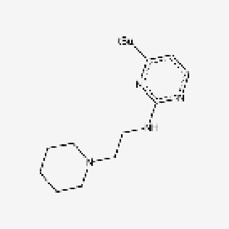 CC(C)(C)c1ccnc(NCCN2CCCCC2)n1